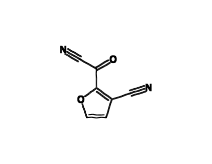 N#CC(=O)c1occc1C#N